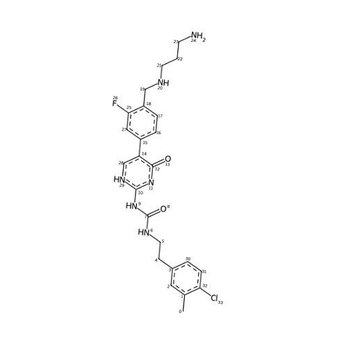 Cc1cc(CCNC(=O)Nc2nc(=O)c(-c3ccc(CNCCCN)c(F)c3)c[nH]2)ccc1Cl